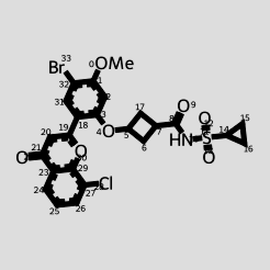 COc1cc(OC2CC(C(=O)NS(=O)(=O)C3CC3)C2)c(-c2cc(=O)c3cccc(Cl)c3o2)cc1Br